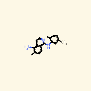 Cc1ccc(C(F)(F)F)cc1Nc1nccc2c(N)c(C)ccc12